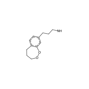 [NH]CCCc1ccc2c(c1)OOCCC2